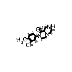 Cc1ccc(N2CCN3CCNC[C@@H]3C2=O)cc1Cl